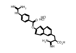 Cl.Cl.N=C(N)Nc1ccc(C(=O)Oc2ccc3cc(CC(C(=N)N)C(=O)O)ccc3c2)cc1